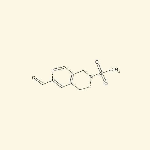 CS(=O)(=O)N1CCc2cc(C=O)ccc2C1